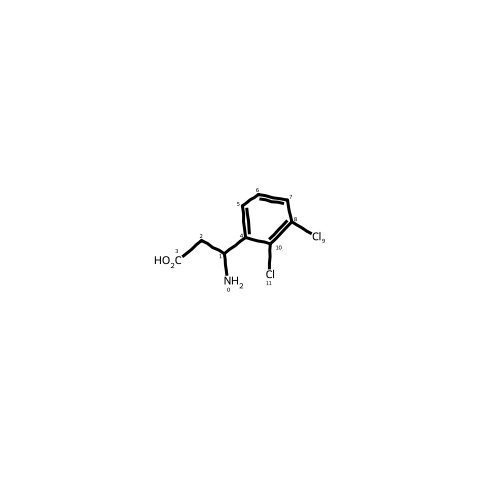 NC(CC(=O)O)c1cccc(Cl)c1Cl